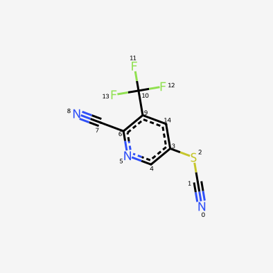 N#CSc1cnc(C#N)c(C(F)(F)F)c1